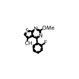 COc1nc(-c2ccccc2F)c2c(C)csc2n1